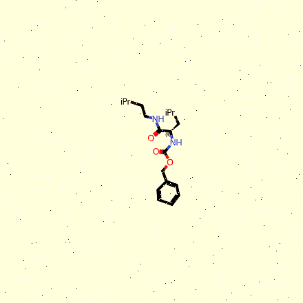 CC(C)CCNC(=O)[C@@H](CC(C)C)NC(=O)OCc1ccccc1